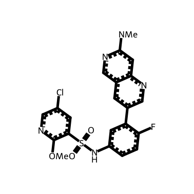 CNc1cc2ncc(-c3cc(NS(=O)(=O)c4cc(Cl)cnc4OC)ccc3F)cc2cn1